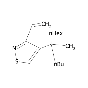 C=Cc1nscc1C(C)(CCCC)CCCCCC